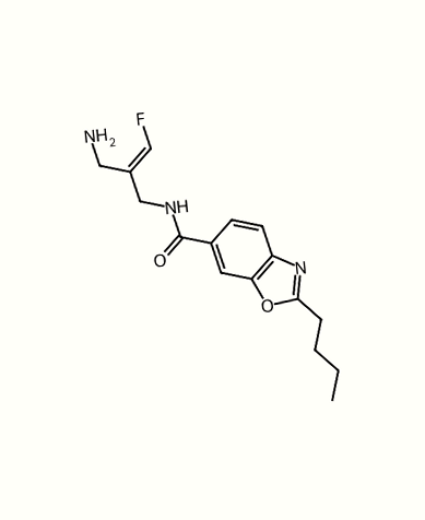 CCCCc1nc2ccc(C(=O)NCC(=CF)CN)cc2o1